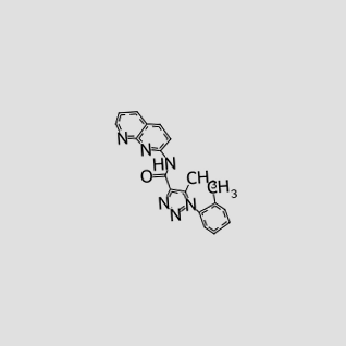 Cc1ccccc1-n1nnc(C(=O)Nc2ccc3cccnc3n2)c1C